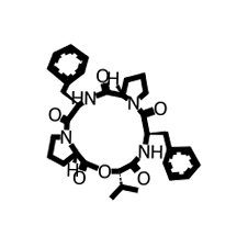 CC(C)[C@@H]1OC(=O)[C@@H]2CCCN2C(=O)[C@@H](Cc2ccccc2)NC(=O)[C@@H]2CCCN2C(=O)[C@@H](Cc2ccccc2)NC1=O